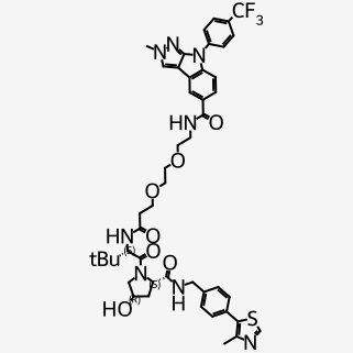 Cc1ncsc1-c1ccc(CNC(=O)[C@@H]2C[C@@H](O)CN2C(=O)[C@@H](NC(=O)CCOCCOCCNC(=O)c2ccc3c(c2)c2cn(C)nc2n3-c2ccc(C(F)(F)F)cc2)C(C)(C)C)cc1